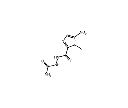 Cn1c([N+](=O)[O-])cnc1C(=O)NNC(N)=O